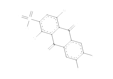 Nc1c(S(=O)(=O)Cl)cc([N+](=O)[O-])c2c1C(=O)c1cc(F)c(F)cc1C2=O